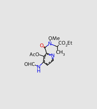 CCOC(=O)C(C)N(OC)C(=O)c1nccc(NC=O)c1OC(C)=O